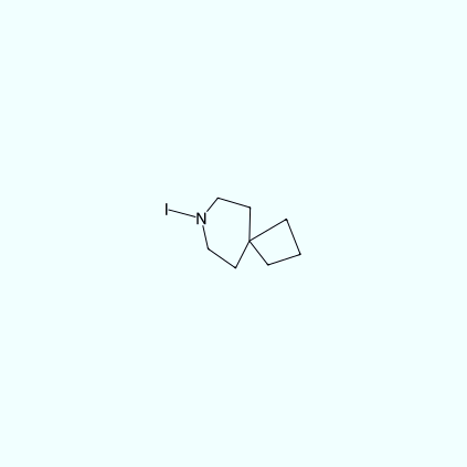 IN1CCC2(CCC2)CC1